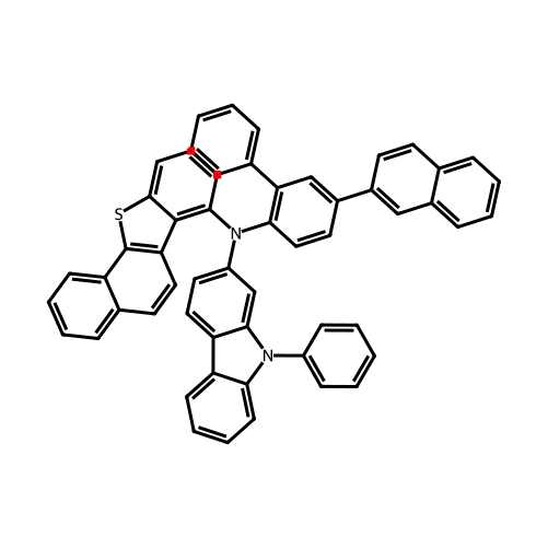 c1ccc(-c2cc(-c3ccc4ccccc4c3)ccc2N(c2ccc3c4ccccc4n(-c4ccccc4)c3c2)c2cccc3sc4c5ccccc5ccc4c23)cc1